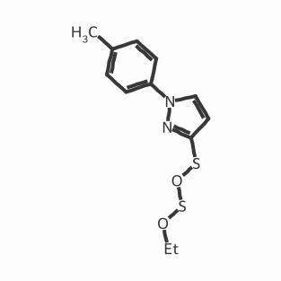 CCOSOSc1ccn(-c2ccc(C)cc2)n1